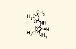 CC(C)CC(=O)Nc1nn(C)c(N)c1C#N